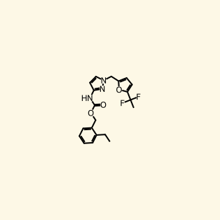 CCc1ccccc1COC(=O)Nc1ccn(Cc2ccc(C(C)(F)F)o2)n1